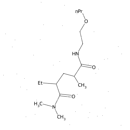 CCCOCCNC(=O)C(C)CC(CC)C(=O)N(C)C